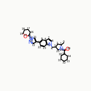 CC1CC(Cn2ccc3cc(-c4cnn(C5CCCCO5)c4)ccc32)CN1C(=O)C1CCCCC1